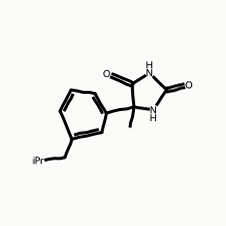 CC(C)Cc1cccc(C2(C)NC(=O)NC2=O)c1